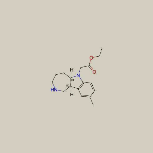 CCOC(=O)CN1c2ccc(C)cc2[C@H]2CNCCC[C@H]21